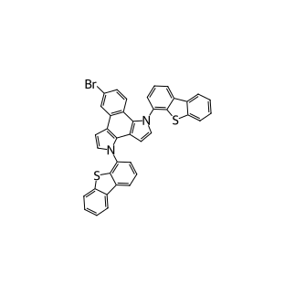 Brc1ccc2c(c1)c1ccn(-c3cccc4c3sc3ccccc34)c1c1ccn(-c3cccc4c3sc3ccccc34)c21